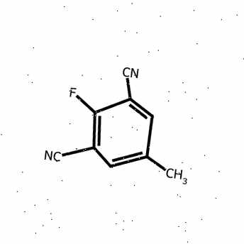 Cc1cc(C#N)c(F)c(C#N)c1